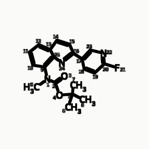 CN(C(=O)OC(C)(C)C)c1cccc2ccc(-c3ccc(F)nc3)nc12